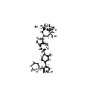 CC1(C)CC(N2CCc3cc(-c4ncc(-c5c[nH]nc5C5CCCCO5)cc4F)nnc32)CC(C)(C)N1